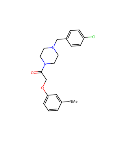 CNc1cccc(OCC(=O)N2CCN(Cc3ccc(Cl)cc3)CC2)c1